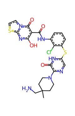 CC1(CN)CCN(c2ncc(Sc3cccc(NC(=O)c4c(O)nc5sccn5c4=O)c3Cl)[nH]c2=O)CC1